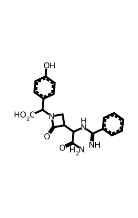 N=C(NC(C(N)=O)C1CN(C(C(=O)O)c2ccc(O)cc2)C1=O)c1ccccc1